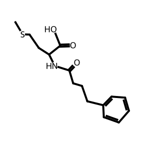 CSCCC(NC(=O)CCCc1ccccc1)C(=O)O